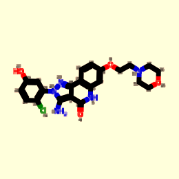 Nc1c2c(=O)[nH]c3cc(OCCN4CCOCC4)ccc3c2nn1-c1cc(O)ccc1Cl